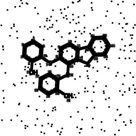 Oc1ccccc1Sc1ccc2c(c1Sc1ccccc1O)Cc1ccccc1-2